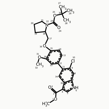 COC(=O)c1c[nH]c2cc(Cl)c(-c3ccc(OCC4CCCN4C(=O)OC(C)(C)C)c(OC)c3)cc12